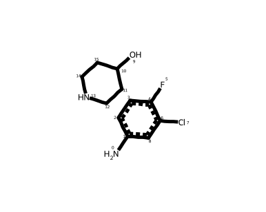 Nc1ccc(F)c(Cl)c1.OC1CCNCC1